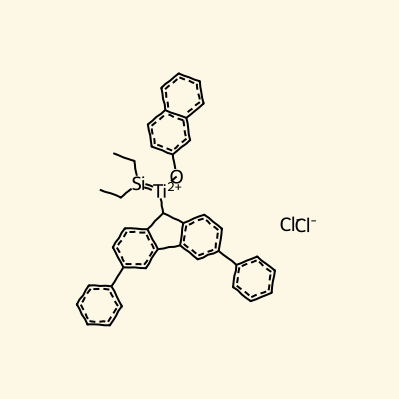 CC[Si](CC)=[Ti+2]([O]c1ccc2ccccc2c1)[CH]1c2ccc(-c3ccccc3)cc2-c2cc(-c3ccccc3)ccc21.[Cl-].[Cl-]